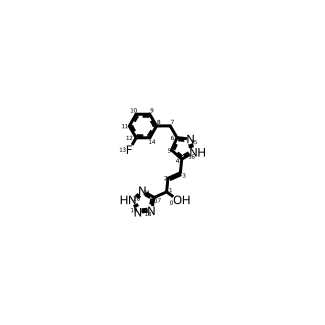 OC(C=Cc1cc(Cc2cccc(F)c2)n[nH]1)c1nn[nH]n1